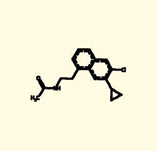 CC(=O)NCCc1cccc2cc(Cl)c(C3CC3)cc12